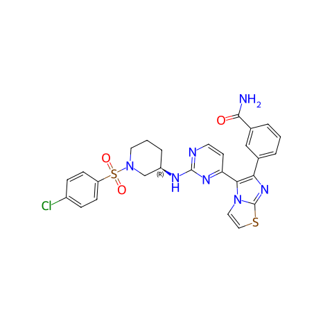 NC(=O)c1cccc(-c2nc3sccn3c2-c2ccnc(N[C@@H]3CCCN(S(=O)(=O)c4ccc(Cl)cc4)C3)n2)c1